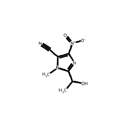 CC(O)c1nc([N+](=O)[O-])c(C#N)n1C